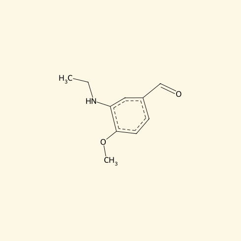 CCNc1cc(C=O)ccc1OC